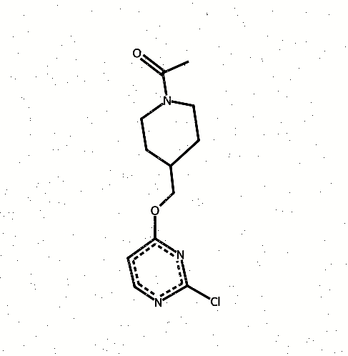 CC(=O)N1CCC(COc2ccnc(Cl)n2)CC1